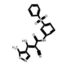 Cc1oncc1/C(O)=C(\C#N)C(=O)Nc1cccc(S(=O)(=O)c2ccccc2)c1